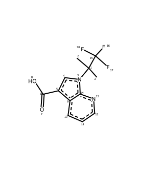 CC(C)(n1cc(C(=O)O)c2cccnc21)C(F)(F)F